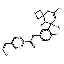 C/N=C\c1ccc(C(=O)Nc2ccc(F)c([C@@]3(C)N=C(N)OC4(COC4)[C@@H]3F)c2)nc1